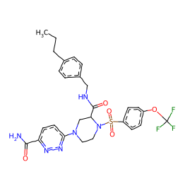 CCCc1ccc(CNC(=O)C2CN(c3ccc(C(N)=O)nn3)CCN2S(=O)(=O)c2ccc(OC(F)(F)F)cc2)cc1